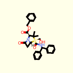 CC1(C)[C@H](C(=O)OCc2ccccc2)N2C(=O)C[C@H]2[S@@]1(CO)C(=O)NC(c1ccccc1)c1ccccc1